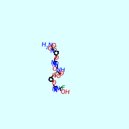 NS(=O)(=O)c1nc2cc(OCc3cn(CC(=O)N[C@@H](CSCc4cccc(OCc5cn(C(CO)CF)nn5)c4)C(=O)O)nn3)ccc2s1